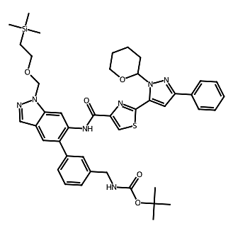 CC(C)(C)OC(=O)NCc1cccc(-c2cc3cnn(COCC[Si](C)(C)C)c3cc2NC(=O)c2csc(-c3cc(-c4ccccc4)nn3C3CCCCO3)n2)c1